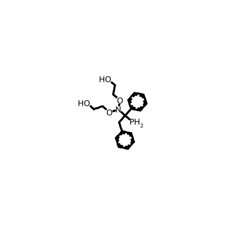 OCCON(OCCO)C(P)(Cc1ccccc1)c1ccccc1